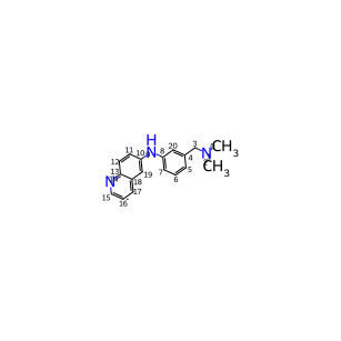 CN(C)Cc1cccc(Nc2ccc3nc[c]cc3c2)c1